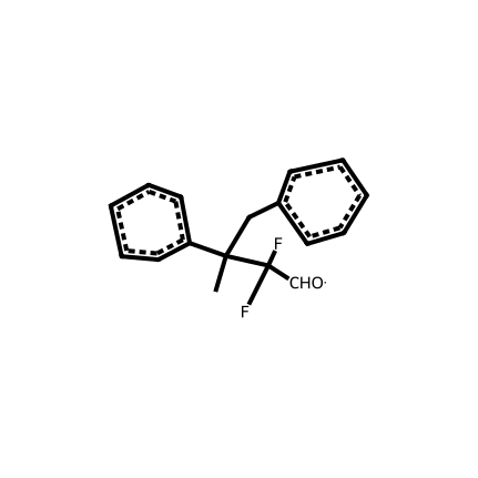 CC(Cc1ccccc1)(c1ccccc1)C(F)(F)[C]=O